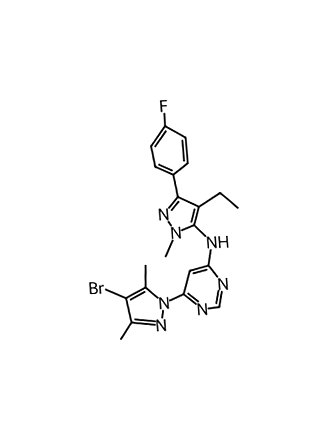 CCc1c(-c2ccc(F)cc2)nn(C)c1Nc1cc(-n2nc(C)c(Br)c2C)ncn1